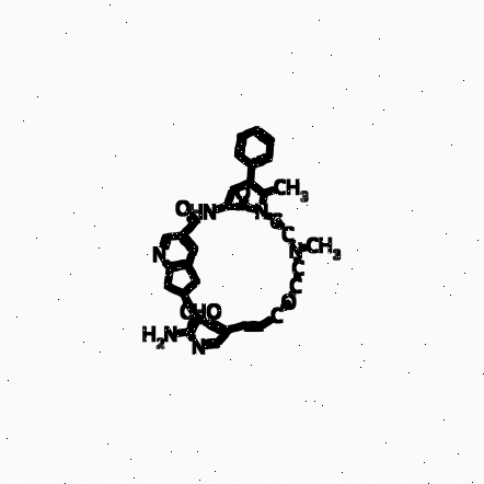 CC1C(c2ccccc2)CC2NC(=O)c3cnc4c(c3)C[C@](C=O)(C4)c3cc(cnc3N)/C=C/COCCN(C)CCN1C2=O